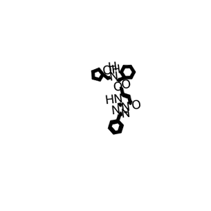 O=C(NCC1(O)CCCC1)C1(OCc2cc(=O)n3nc(-c4ccccc4)nc3[nH]2)CCCCC1